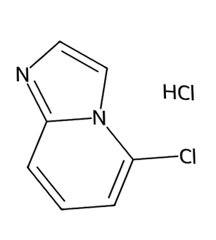 Cl.Clc1cccc2nccn12